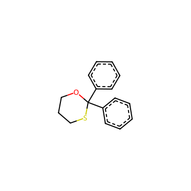 c1ccc(C2(c3ccccc3)OCCCS2)cc1